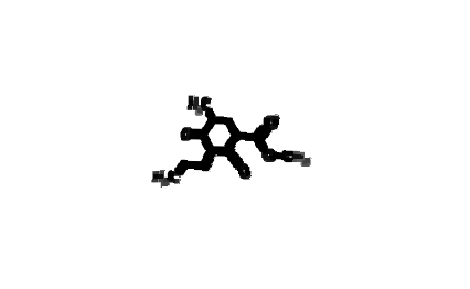 CCCC1C(=O)C(C)CC(C(=O)OC)C1=O